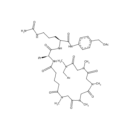 CC(=O)CN(C)C(=O)CN(C)C(=O)CN(C)C(=O)CN(C)C(=O)CN(C)C(=O)CCCC(=O)N[C@H](C(=O)N[C@@H](CCCNC(N)=O)C(=O)Nc1ccc(COC(C)=O)cc1)C(C)C